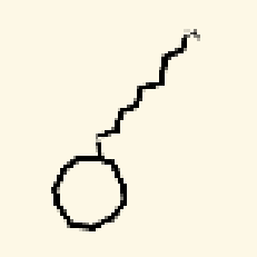 CCCCCCCC[P]C1CCCCCCCCCC1